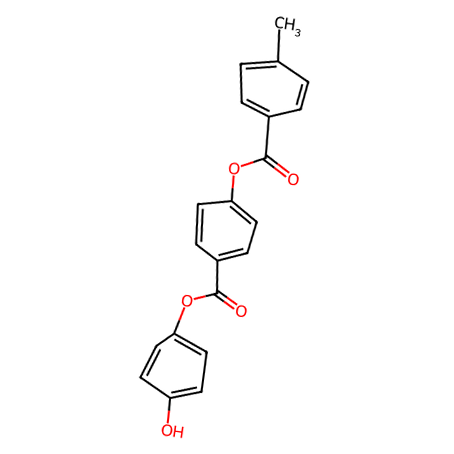 Cc1ccc(C(=O)Oc2ccc(C(=O)Oc3ccc(O)cc3)cc2)cc1